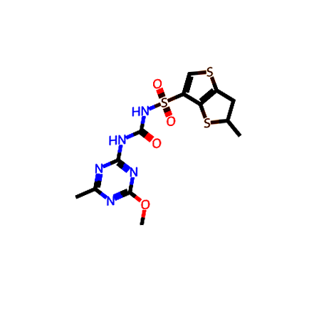 COc1nc(C)nc(NC(=O)NS(=O)(=O)c2csc3c2SC(C)C3)n1